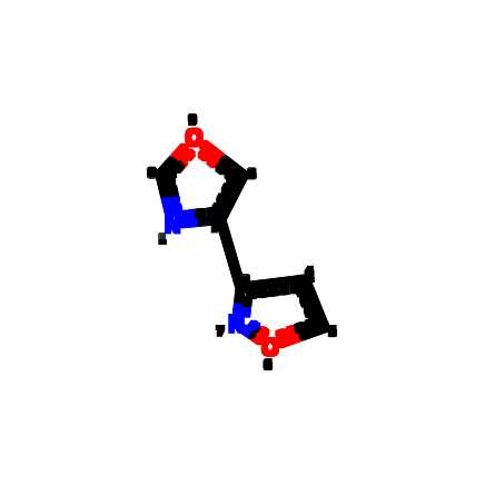 [c]1nc(-c2[c]con2)co1